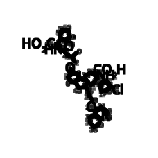 CC(COc1ccc2c(c1)C1(CCC(Nc3cccc(Cl)c3)(C(=O)O)CC1)C(CCCOc1ccnc3c1CCCC3)C2)CC(=O)NC(C(=O)O)c1ccccc1